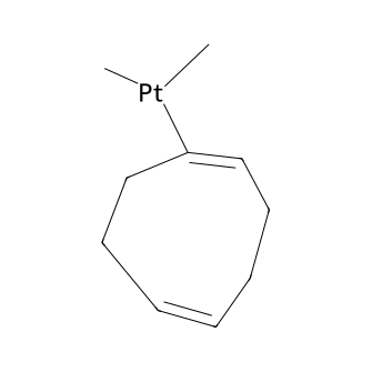 [CH3][Pt]([CH3])[C]1=CCCC=CCC1